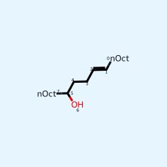 CCCCCCCCC=CCCC(O)CCCCCCCC